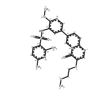 COCCOc1cnc2ccc(-c3cnc(OC)c(NS(=O)(=O)c4ccc(C)nc4C)c3)cn2c1=O